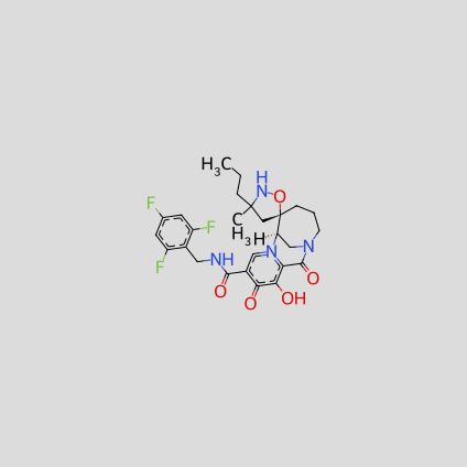 CCCC1(C)C[C@]2(CCCN3C[C@H]2n2cc(C(=O)NCc4c(F)cc(F)cc4F)c(=O)c(O)c2C3=O)ON1